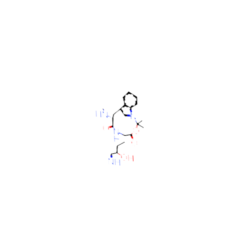 CN[C@H]1Cc2cn(c3ccccc23)C(C)(C)OC(=O)[C@H](CCC(O)C=N)NC1=O